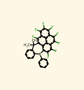 CC1(C)c2ccccc2B(c2ccccc2)c2c(F)c(F)c3c(F)c(F)c4c(F)c(F)c(F)c5c(F)c1c2c3c45